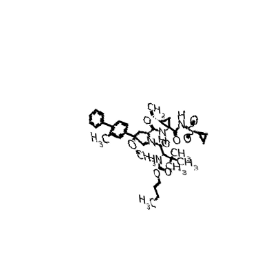 C=C[C@@H]1C[C@]1(NC(=O)[C@@H]1C[C@@](OC)(c2ccc(-c3ccccc3)c(C)c2)CN1C(=O)[C@@H](NC(=O)OCCCC)C(C)(C)C)C(=O)NS(=O)(=O)C1CC1